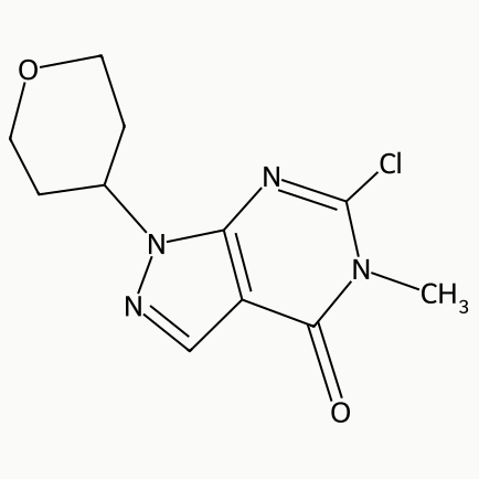 Cn1c(Cl)nc2c(cnn2C2CCOCC2)c1=O